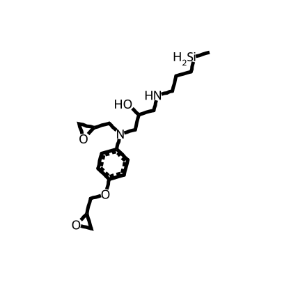 C[SiH2]CCCNCC(O)CN(CC1CO1)c1ccc(OCC2CO2)cc1